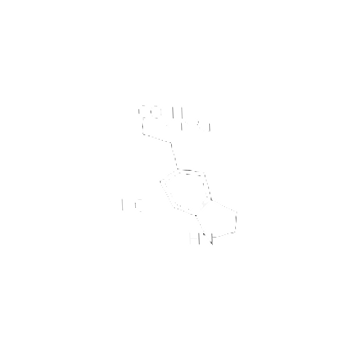 CCCC[C@@H](CC(=O)O)c1ccc2c(c1)CCN2.Cl